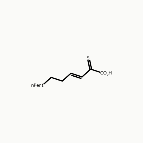 CCCCCCCC=CC(=S)C(=O)O